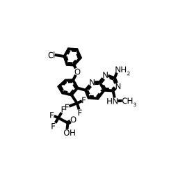 CNc1nc(N)nc2nc(-c3c(Oc4cccc(Cl)c4)cccc3C(F)(F)F)ccc12.O=C(O)C(F)(F)F